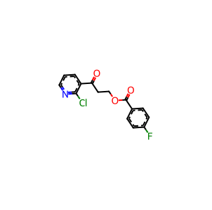 O=C(OCCC(=O)c1cccnc1Cl)c1ccc(F)cc1